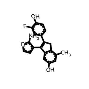 Cc1cc(O)cc2c1CC(c1ccc(O)c(F)c1)=C2c1ccoc1N